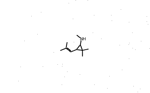 CNC1C(C=C(C)C)C1(C)C